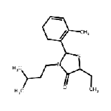 CCC1SC(C2=C(C)C=CCC2)N(CCC(C)C)C1=O